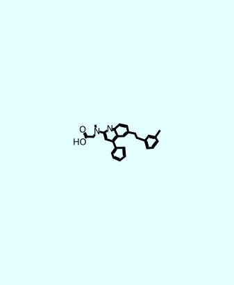 Cc1cccc(CCc2ccc3nc(N(C)CC(=O)O)cc(-c4ccccc4)c3c2)c1